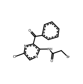 O=C(CBr)Nc1ncc(Cl)nc1C(=O)c1ccccc1